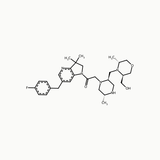 C[C@@H]1CN(CC(=O)N2CC(C)(C)c3ncc(Cc4ccc(F)cc4)cc32)[C@@H](CN2[C@H](CO)COC[C@H]2C)CN1